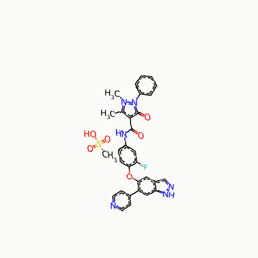 CS(=O)(=O)O.Cc1c(C(=O)Nc2ccc(Oc3cc4cn[nH]c4cc3-c3ccncc3)c(F)c2)c(=O)n(-c2ccccc2)n1C